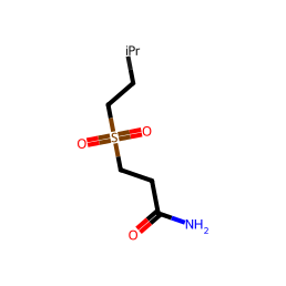 CC(C)CCS(=O)(=O)CCC(N)=O